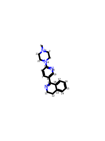 CN1CCN(c2ccc(C3=NCCc4ccccc43)cn2)CC1